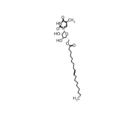 CCCCCCCC/C=C/CCCCCCCC(=O)OC[C@H]1O[C@@H](n2cc(C)c(=O)[nH]c2=O)[C@@H](O)[C@@H]1O